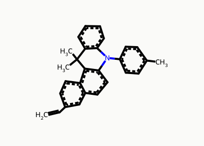 C=Cc1ccc2c3c(ccc2c1)N(c1ccc(C)cc1)c1ccccc1C3(C)C